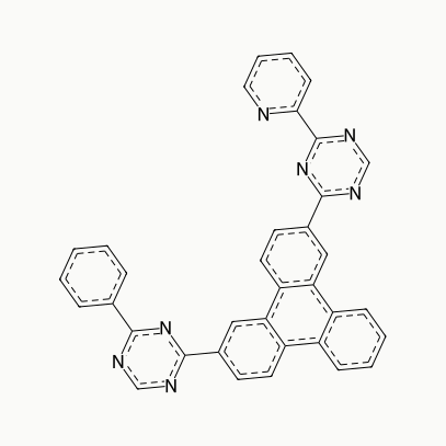 c1ccc(-c2ncnc(-c3ccc4c5ccccc5c5cc(-c6ncnc(-c7ccccn7)n6)ccc5c4c3)n2)cc1